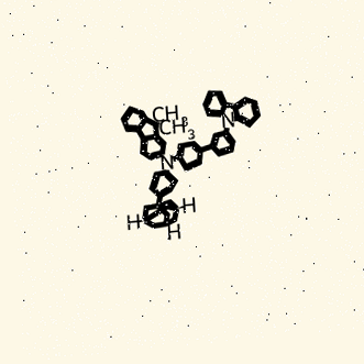 CC1(C)c2ccccc2-c2ccc(N(c3ccc(-c4cccc(-n5c6ccccc6c6ccccc65)c4)cc3)c3ccc(C45C[C@H]6C[C@@H](C4)C[C@@H](C5)C6)cc3)cc21